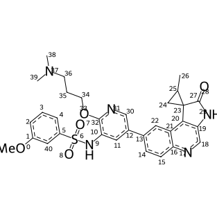 COc1cccc(S(=O)(=O)Nc2cc(-c3ccc4ncc5c(c4c3)C3(CC3C)C(=O)N5)cnc2OCCCN(C)C)c1